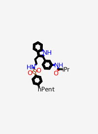 CCCCCc1ccc(S(=O)(=O)NCCc2c(-c3cccc(NC(=O)C(C)C)c3)[nH]c3ccccc23)cc1